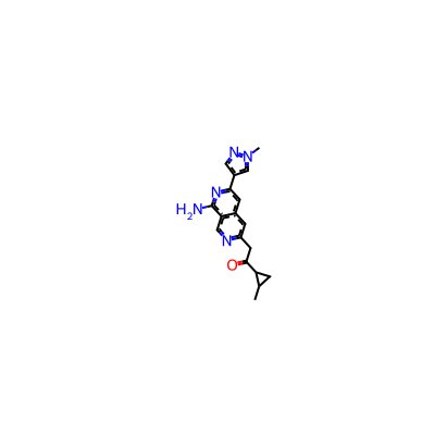 CC1CC1C(=O)Cc1cc2cc(-c3cnn(C)c3)nc(N)c2cn1